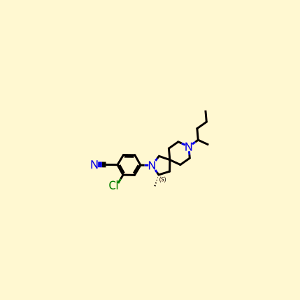 CCCC(C)N1CCC2(CC1)C[C@H](C)N(c1ccc(C#N)c(Cl)c1)C2